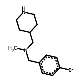 CN(Cc1ccc(Br)cc1)CC1CCNCC1